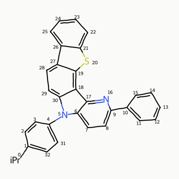 CC(C)c1ccc(-n2c3ccc(-c4ccccc4)nc3c3c4sc5ccccc5c4ccc32)cc1